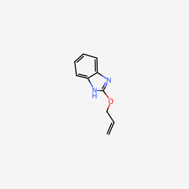 C=CCOc1nc2ccccc2[nH]1